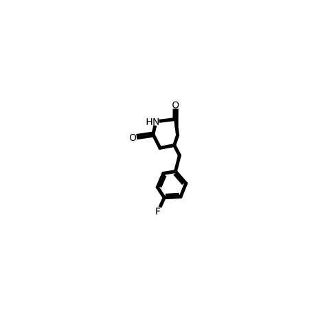 O=C1CC(Cc2ccc(F)cc2)CC(=O)N1